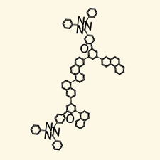 c1ccc(-c2nc(-c3ccccc3)nc(-c3ccc4c(c3)oc3c(-c5ccc6ccc7c(-c8cccc9cc(-c%10cc(-c%11cccc%12ccccc%11%12)c%11oc%12cc(-c%13nc(-c%14ccccc%14)nc(-c%14ccccc%14)n%13)ccc%12c%11c%10)ccc89)cccc7c6c5)cc(-c5ccc6c(ccc7ccccc76)c5)cc34)n2)cc1